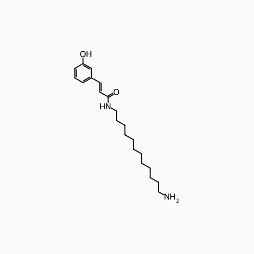 NCCCCCCCCCCCCNC(=O)/C=C/c1cccc(O)c1